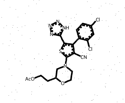 CC(=O)OCCC1CN(c2sc(-c3nnn[nH]3)c(-c3ccc(Cl)cc3Cl)c2C#N)CCO1